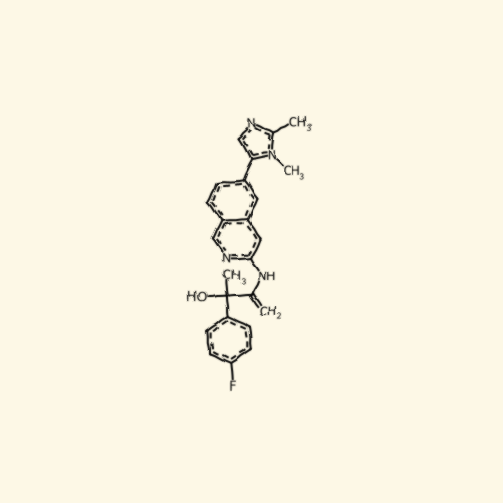 C=C(Nc1cc2cc(-c3cnc(C)n3C)ccc2cn1)C(C)(O)c1ccc(F)cc1